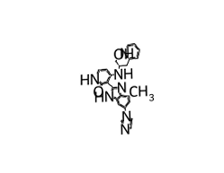 Cc1cc(-n2ccnc2)cc2[nH]c(-c3c(N[C@@H](CO)Cc4ccccn4)cc[nH]c3=O)nc12